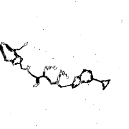 N/C(=C\N(N)Cc1cn2cc(C3CC3)ccc2n1)C(=O)NCc1cc2c(Cl)nccc2s1